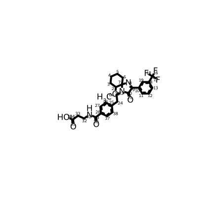 COC1CCCCC12N=C(c1cccc(C(F)(F)F)c1)C(=O)N2CCc1ccc(C(=O)NCCC(=O)O)cc1